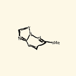 CNc1ccc2ncnn2n1